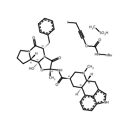 CCCCNC(=O)OC#CCI.CN1C[C@H](C(=O)N[C@]2(C)O[C@@]3(O)[C@@H]4CCCN4C(=O)[C@H](Cc4ccccc4)N3C2=O)C[C@@H]2c3cccc4[nH]cc(c34)C[C@H]21.CS(=O)(=O)O